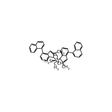 CC1=Cc2c(-c3cccc4ccccc34)cccc2[CH]1[Zr]([CH3])([CH3])(=[SiH2])([CH2]Cl)[CH]1C(C)=Cc2c(-c3cccc4ccccc34)cccc21